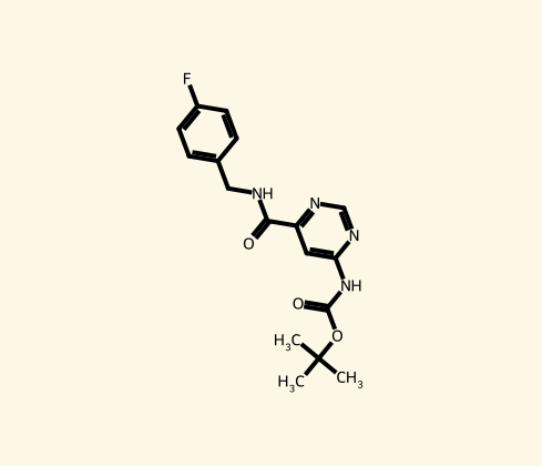 CC(C)(C)OC(=O)Nc1cc(C(=O)NCc2ccc(F)cc2)ncn1